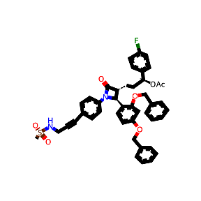 CC(=O)O[C@@H](CC[C@H]1C(=O)N(c2ccc(C#CCNS(C)(=O)=O)cc2)[C@@H]1c1ccc(OCc2ccccc2)cc1OCc1ccccc1)c1ccc(F)cc1